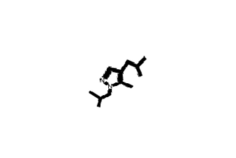 Cc1c(CC(C)C)cnn1CC(C)C